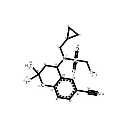 CCS(=O)(=O)N(CC1CC1)C1CC(C)(C)Oc2ccc(C#N)cc21